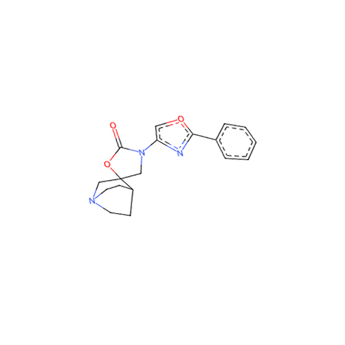 O=C1OC2(CN3CCC2CC3)CN1c1coc(-c2ccccc2)n1